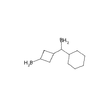 BC1CC(C(B)C2CCCCC2)C1